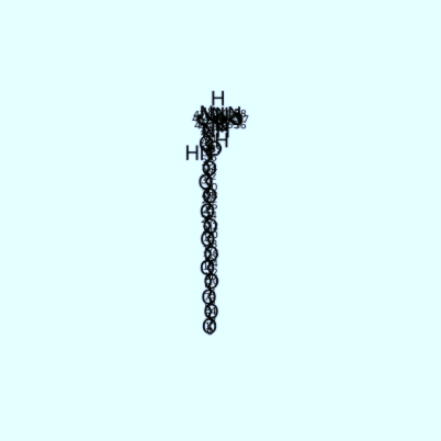 COCCOCCOCCOCCOCCOCCOCCOCCOCCOCCOCCOCCNC(=O)OCCNc1cccnc1C1=NNC(c2ccccn2)=NN1